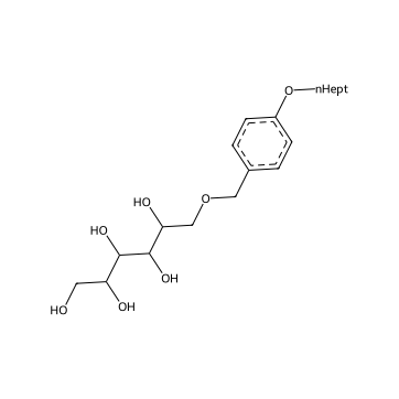 CCCCCCCOc1ccc(COCC(O)C(O)C(O)C(O)CO)cc1